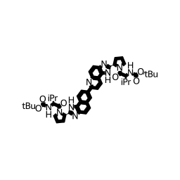 CC(C)[C@H](NC(=O)OC(C)(C)C)C(=O)N1CCC[C@H]1c1nc2ccc3cc(-c4ccc5c(ccc6nc([C@@H]7CCCN7C(=O)[C@@H](NC(=O)OC(C)(C)C)C(C)C)[nH]c65)n4)ccc3c2[nH]1